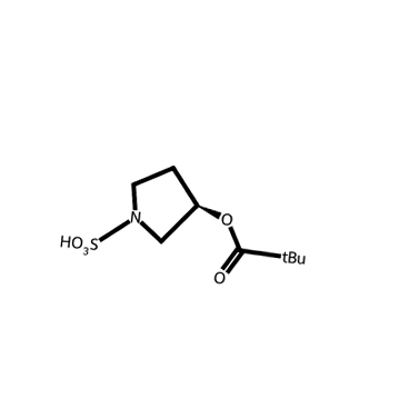 CC(C)(C)C(=O)O[C@@H]1CCN(S(=O)(=O)O)C1